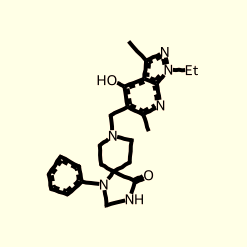 CCn1nc(C)c2c(O)c(CN3CCC4(CC3)C(=O)NCN4c3ccccc3)c(C)nc21